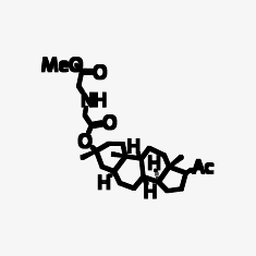 COC(=O)CNCC(=O)O[C@]1(C)CC[C@@]2(C)[C@@H](CC[C@@H]3[C@@H]2CC[C@]2(C)[C@@H](C(C)=O)CC[C@@H]32)C1